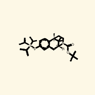 CC(C)[Si](Sc1ccc2c(c1)C[C@H]1N(C(=O)OC(C)(C)C)CC[C@]2(C)C1(C)C)(C(C)C)C(C)C